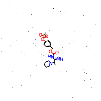 CC(C(=N)NC(=O)OCc1ccc(OS(C)(=O)=O)cc1)N1CCCCC1